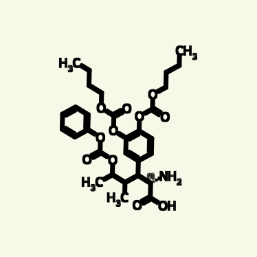 CCCCOC(=O)Oc1ccc(C(C(C)C(C)OC(=O)Oc2ccccc2)[C@H](N)C(=O)O)cc1OC(=O)OCCCC